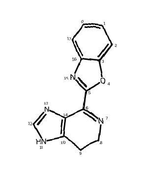 c1ccc2oc(C3=NCCc4[nH]cnc43)nc2c1